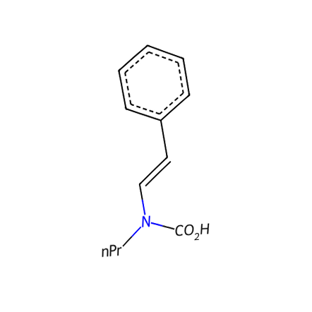 CCCN(C=Cc1ccccc1)C(=O)O